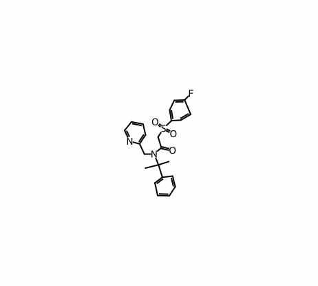 CC(C)(c1ccccc1)N(Cc1ccccn1)C(=O)CS(=O)(=O)c1ccc(F)cc1